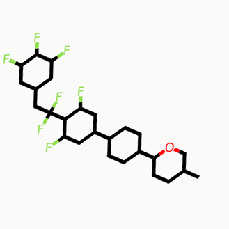 CC1CCC(C2CCC(C3CC(F)C(C(F)(F)CC4CC(F)C(F)C(F)C4)C(F)C3)CC2)OC1